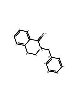 O=C1c2ccccc2CCN1Cc1ccccc1